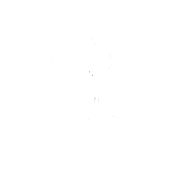 COC(=O)C(CCO)N(C)C(=O)C(CC(C)C)N(C)C(=O)OC(C)(C)C